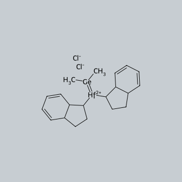 [CH3][Ge]([CH3])=[Hf+2]([CH]1CCC2C=CC=CC21)[CH]1CCC2C=CC=CC21.[Cl-].[Cl-]